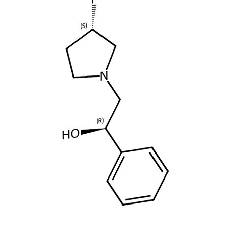 O[C@@H](CN1CC[C@H](F)C1)c1ccccc1